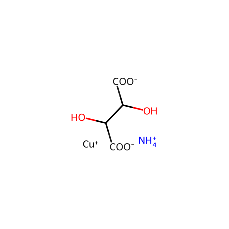 O=C([O-])C(O)C(O)C(=O)[O-].[Cu+].[NH4+]